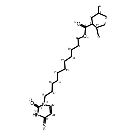 CC(C)CC(C(=O)OCCCCCCCCCCCn1ccc(=S)[nH]c1=O)C(C)C